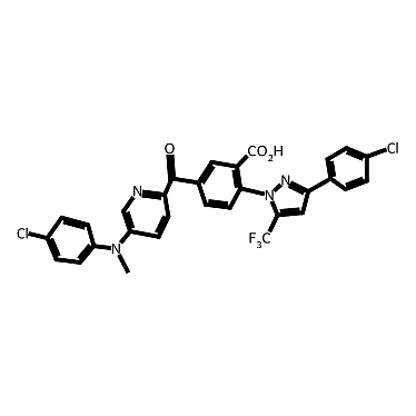 CN(c1ccc(Cl)cc1)c1ccc(C(=O)c2ccc(-n3nc(-c4ccc(Cl)cc4)cc3C(F)(F)F)c(C(=O)O)c2)nc1